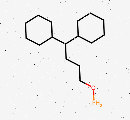 POCCCC(C1CCCCC1)C1CCCCC1